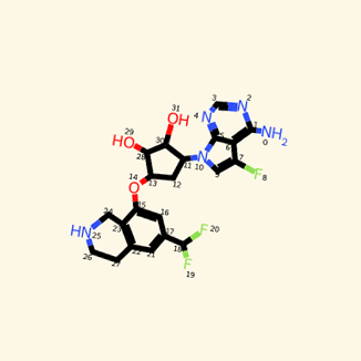 Nc1ncnc2c1c(F)cn2C1CC(Oc2cc(C(F)F)cc3c2CNCC3)C(O)C1O